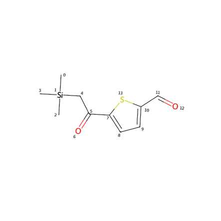 C[Si](C)(C)CC(=O)c1ccc(C=O)s1